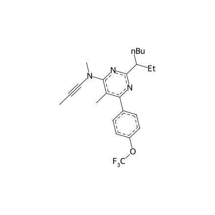 CC#CN(C)c1nc(C(CC)CCCC)nc(-c2ccc(OC(F)(F)F)cc2)c1C